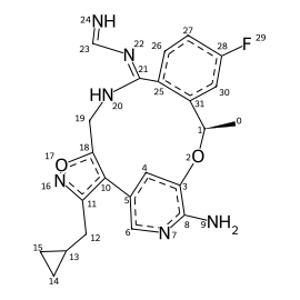 C[C@H]1Oc2cc(cnc2N)-c2c(CC3CC3)noc2CN/C(=N\C=N)c2ccc(F)cc21